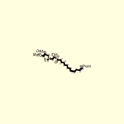 CCCCC/C=C\C/C=C\CCCCCCCC(=O)O[C@@H](C)CN(CC)CC(COC)OC